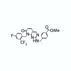 COC(=O)c1ccc([C@H](C)Nc2ncc3ccc(=O)n(Cc4ccc(F)cc4C(F)(F)F)c3n2)cc1